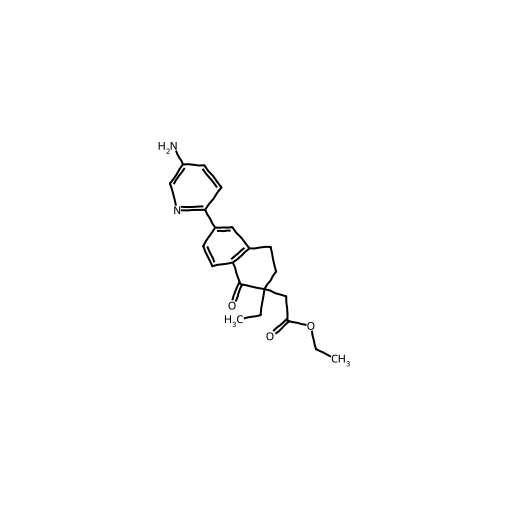 CCOC(=O)CC1(CC)CCc2cc(-c3ccc(N)cn3)ccc2C1=O